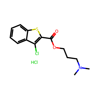 CN(C)CCCOC(=O)c1sc2ccccc2c1Cl.Cl